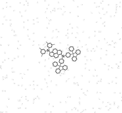 Cc1cc(C)cc(N(c2cc(C)cc(C)c2)c2ccc3ccc4c(N(c5ccc(C6(c7ccccc7)c7ccccc7-c7ccccc76)cc5)c5ccc(C6(c7ccccc7)c7ccccc7-c7ccccc76)cc5)ccc5ccc2c3c54)c1